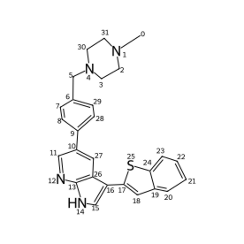 CN1CCN(Cc2ccc(-c3cnc4[nH]cc(-c5cc6ccccc6s5)c4c3)cc2)CC1